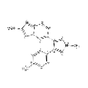 CNc1cn2nc(-c3cn(C)nc3-c3ccc(C)cc3)ccc2n1